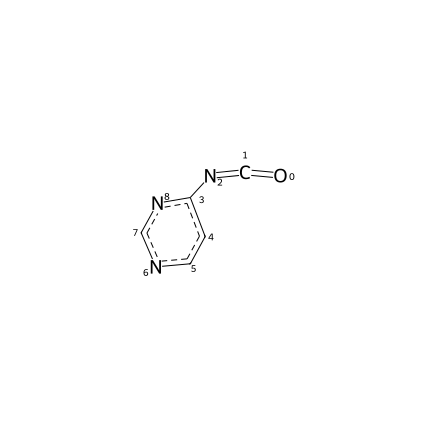 O=C=Nc1ccncn1